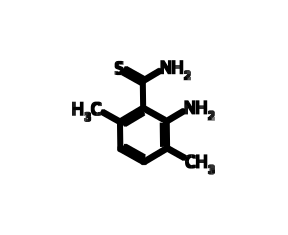 Cc1ccc(C)c(C(N)=S)c1N